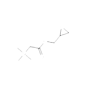 C[Si](C)(C)CC(=O)OCC1CO1